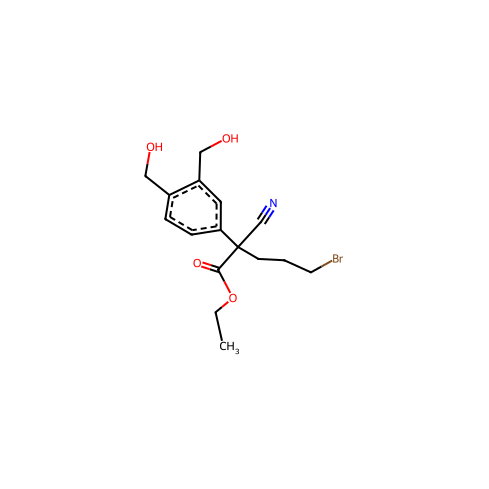 CCOC(=O)C(C#N)(CCCBr)c1ccc(CO)c(CO)c1